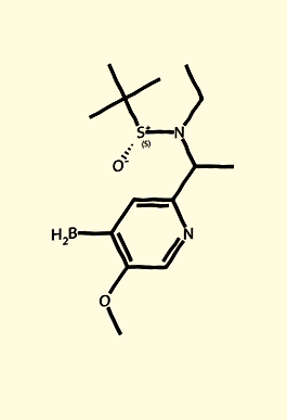 Bc1cc(C(C)N(CC)[S@+]([O-])C(C)(C)C)ncc1OC